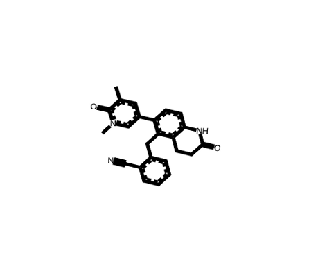 Cc1cc(-c2ccc3c(c2Cc2ccccc2C#N)CCC(=O)N3)cn(C)c1=O